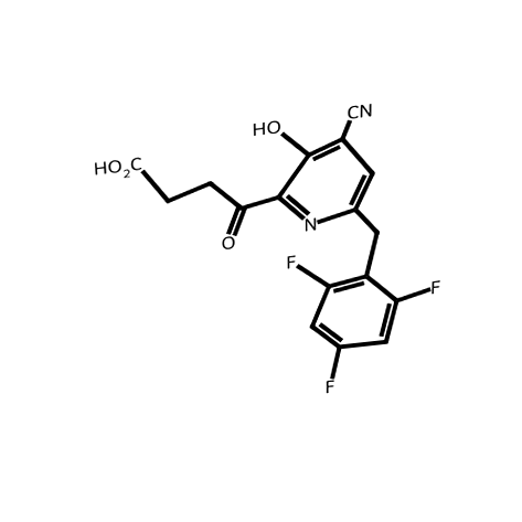 N#Cc1cc(Cc2c(F)cc(F)cc2F)nc(C(=O)CCC(=O)O)c1O